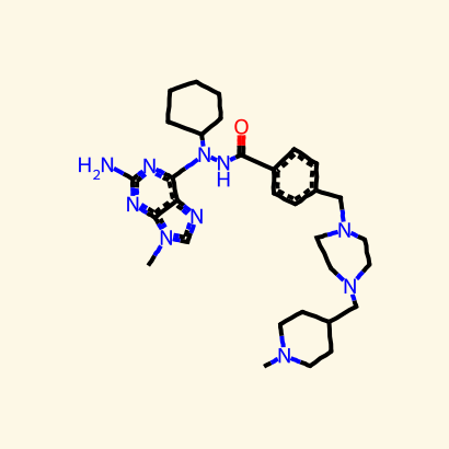 CN1CCC(CN2CCN(Cc3ccc(C(=O)NN(c4nc(N)nc5c4ncn5C)C4CCCCC4)cc3)CC2)CC1